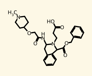 CN1CCC(OCC(=O)NC2Cc3ccccc3C(C(=O)OCc3ccccc3)N2CCC(=O)O)CC1